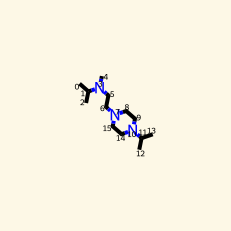 CC(C)N(C)CCN1CCN(C(C)C)CC1